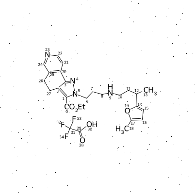 CCOC(=O)c1c2c(nn1CCCNCCC(C)c1ccc(C)o1)-c1ccncc1CC2.O=C(O)C(F)(F)F